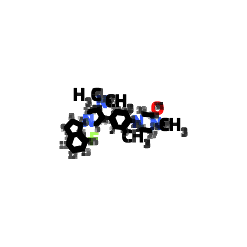 Cc1cc([C@H]2CN(C3CCc4cccc(F)c43)C[C@@H]2N(C)C)ccc1N1CCN(C)C(=O)C1